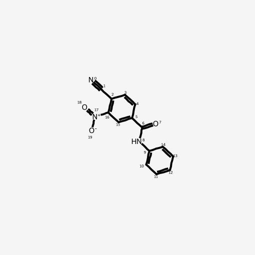 N#Cc1ccc(C(=O)Nc2ccccc2)cc1[N+](=O)[O-]